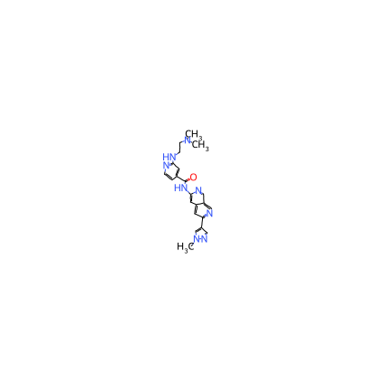 CN(C)CCNc1cc(C(=O)Nc2cc3cc(-c4cnn(C)c4)ncc3cn2)ccn1